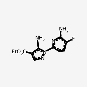 CCOC(=O)c1cnn(-c2ccc(F)c(N)n2)c1N